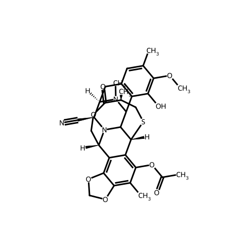 COc1c(C)cc2c(c1O)C1C3[C@@H]4SC[C@H](C)C(=O)OC[C@@H](c5c6c(c(C)c(OC(C)=O)c54)OCO6)N3[C@@H](C#N)[C@@H](C2)N1C